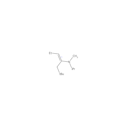 CC/C=C(\CC(C)(C)C)N(C)C(C)C